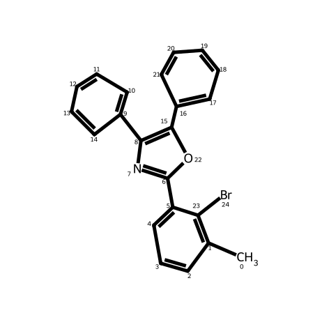 Cc1cccc(-c2nc(-c3ccccc3)c(-c3ccccc3)o2)c1Br